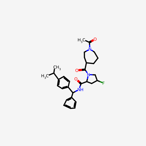 CC(=O)N1CCCC(C(=O)N2CC(F)CC2C(=O)NC(c2ccccc2)c2ccc(C(C)C)cc2)CC1